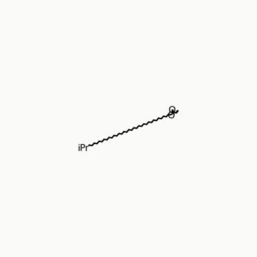 C=CC(=O)OCCCCCCCCCCCCCCCCCCCCCCCCCCCCCCCCCC(C)C